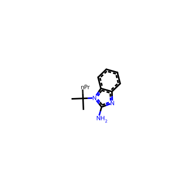 CCCC(C)(C)n1c(N)nc2ccccc21